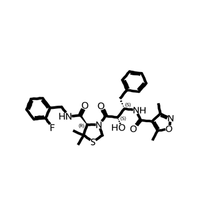 Cc1noc(C)c1C(=O)N[C@@H](Cc1ccccc1)[C@H](O)C(=O)N1CSC(C)(C)[C@H]1C(=O)NCc1ccccc1F